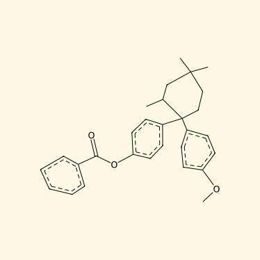 COc1ccc(C2(c3ccc(OC(=O)c4ccccc4)cc3)CCC(C)(C)CC2C)cc1